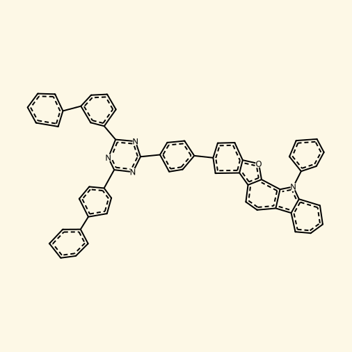 c1ccc(-c2ccc(-c3nc(-c4ccc(-c5ccc6oc7c(ccc8c9ccccc9n(-c9ccccc9)c87)c6c5)cc4)nc(-c4cccc(-c5ccccc5)c4)n3)cc2)cc1